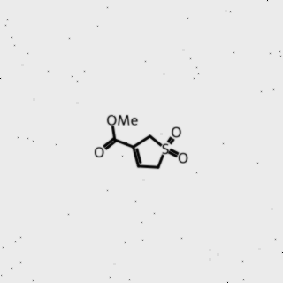 COC(=O)C1=CCS(=O)(=O)C1